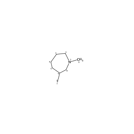 CN1CCCCC(F)C1